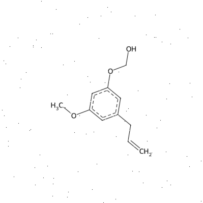 C=CCc1cc(OC)cc(OCO)c1